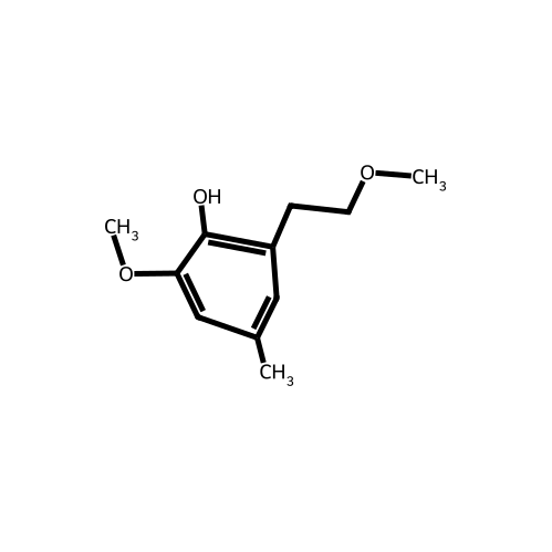 COCCc1cc(C)cc(OC)c1O